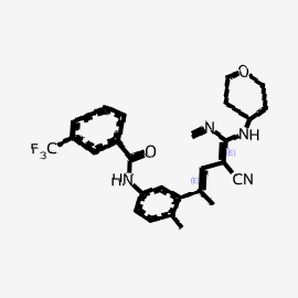 C=N/C(NC1CCOCC1)=C(C#N)\C=C(/C)c1cc(NC(=O)c2cccc(C(F)(F)F)c2)ccc1C